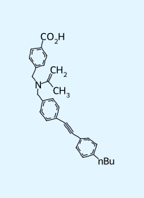 C=C(C)N(Cc1ccc(C#Cc2ccc(CCCC)cc2)cc1)Cc1ccc(C(=O)O)cc1